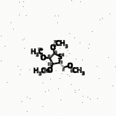 COC[C@H]1SC(OC)[C@H](OC)[C@@H]1OC